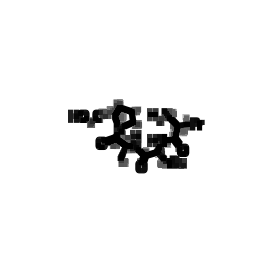 CCCC[C@H](NC(=O)[C@@H](N)C(C)C)C(=O)N[C@@H](C)C(=O)N1CCC[C@H]1C(=O)O